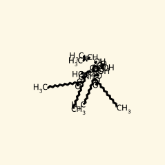 CCCCCCCCCCCCCC(=O)O[C@H](CCCCCCCCCCC)CC(=O)N[C@H](CO)CO[C@H]1O[C@H](CO)[C@@H](OP(=O)(O)O)[C@H](O)[C@@H]1C(=O)C[C@@H](CCCCCCCCCCC)OC(=O)CCCCCCCCCCCCC.CCN(CC)CC